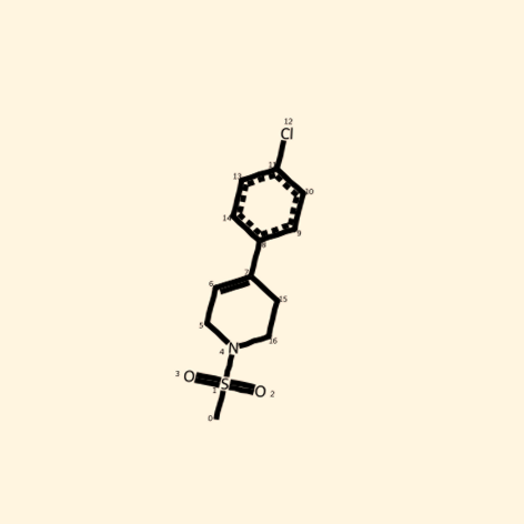 CS(=O)(=O)N1CC=C(c2ccc(Cl)cc2)CC1